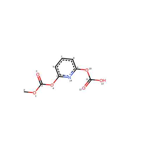 COC(=O)Oc1cccc(OC(=O)O)n1